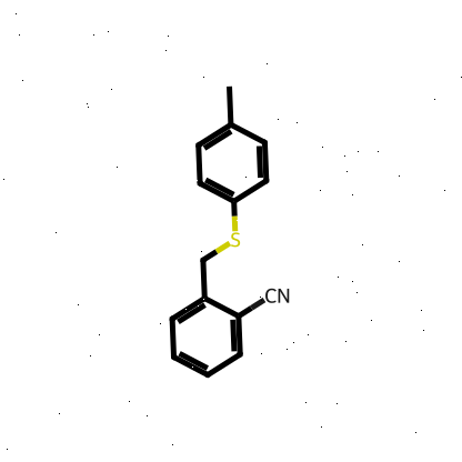 Cc1ccc(SCc2ccccc2C#N)cc1